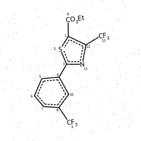 CCOC(=O)c1sc(-c2cccc(C(F)(F)F)c2)nc1C(F)(F)F